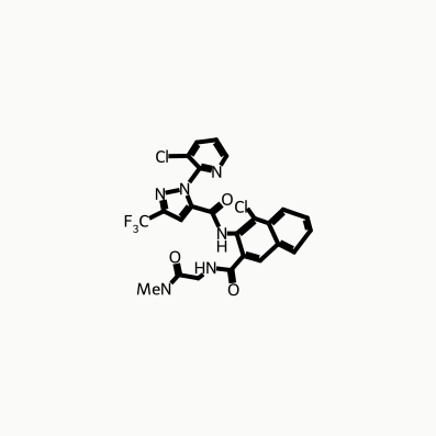 CNC(=O)CNC(=O)c1cc2ccccc2c(Cl)c1NC(=O)c1cc(C(F)(F)F)nn1-c1ncccc1Cl